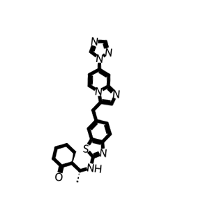 C[C@@H](Nc1nc2ccc(Cc3cnc4cc(-n5cncn5)ccn34)cc2s1)[C@@H]1CCCCC1=O